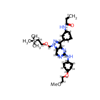 C=CC(=O)Nc1cccc(-c2nn(COCC[Si](C)(C)C)c3cnc(Nc4ccc(OCCOC)cc4)nc23)c1